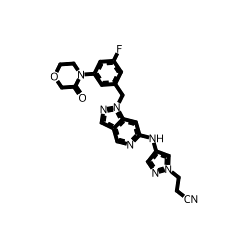 N#CCCn1cc(Nc2cc3c(cn2)cnn3Cc2cc(F)cc(N3CCOCC3=O)c2)cn1